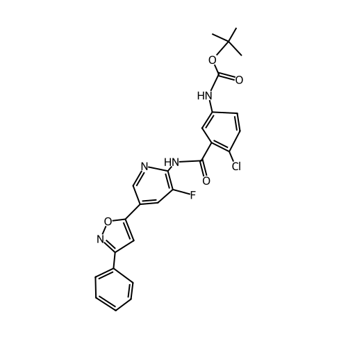 CC(C)(C)OC(=O)Nc1ccc(Cl)c(C(=O)Nc2ncc(-c3cc(-c4ccccc4)no3)cc2F)c1